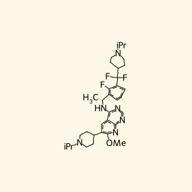 COc1nc2ncnc(N[C@H](C)c3cccc(C(F)(F)C4CCN(C(C)C)CC4)c3F)c2cc1C1CCN(C(C)C)CC1